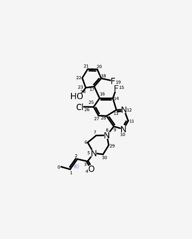 C/C=C/C(=O)N1CCN(c2ncnc3c(F)c(C4=C(F)C=CCC4O)c(Cl)cc23)CC1